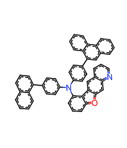 c1cnc2cc3oc4cccc(N(c5ccc(-c6cccc7ccccc67)cc5)c5ccc(-c6cc7ccccc7c7ccccc67)cc5)c4c3cc2c1